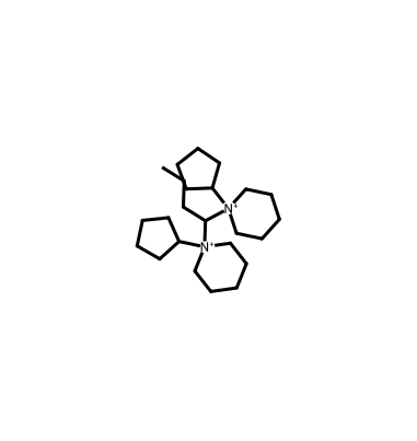 CCCC([N+]1(C2CCCC2)CCCCC1)[N+]1(C2CCCC2)CCCCC1